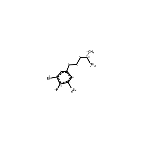 CCc1cc(CCC[C@H](C)N)cc(C(C)(C)C)c1F